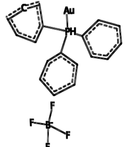 F[B-](F)(F)F.[Au][PH](c1ccccc1)(c1ccccc1)c1ccccc1